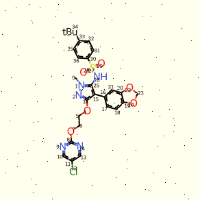 Cn1nc(OCCOc2ncc(Cl)cn2)c(-c2ccc3c(c2)OCO3)c1NS(=O)(=O)c1ccc(C(C)(C)C)cc1